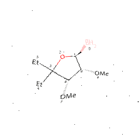 B[C@@H]1OC(CC)(CC)[C@@H](OC)[C@H]1OC